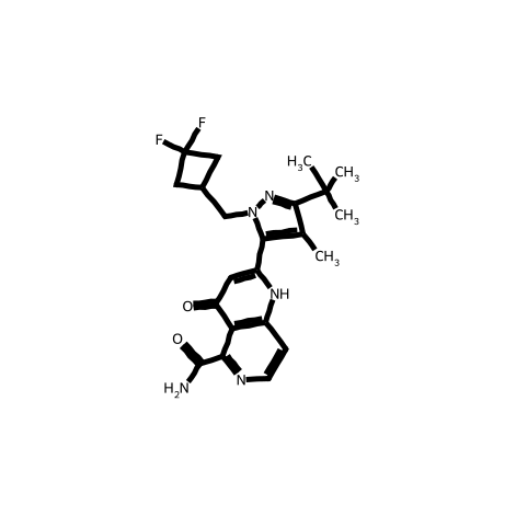 Cc1c(C(C)(C)C)nn(CC2CC(F)(F)C2)c1-c1cc(=O)c2c(C(N)=O)nccc2[nH]1